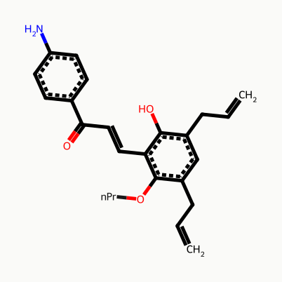 C=CCc1cc(CC=C)c(OCCC)c(C=CC(=O)c2ccc(N)cc2)c1O